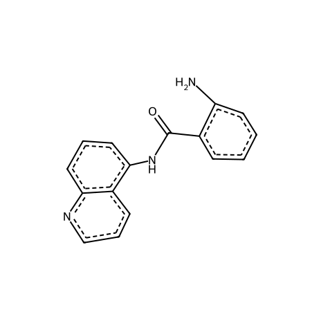 Nc1ccccc1C(=O)Nc1cccc2ncccc12